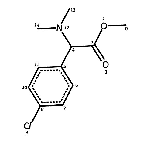 COC(=O)C(c1ccc(Cl)cc1)N(C)C